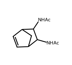 CC(=O)NC1C2C=CC(C2)C1NC(C)=O